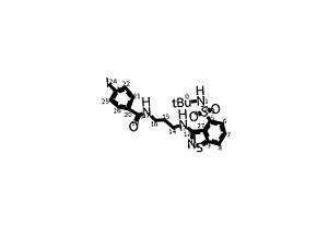 CC(C)(C)NS(=O)(=O)c1cccc2snc(NCCCNC(=O)c3ccc(I)cc3)c12